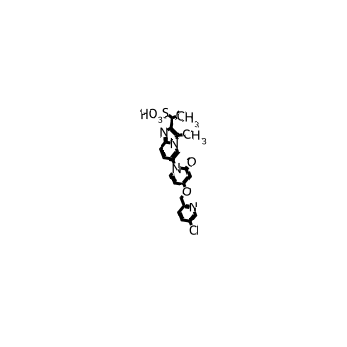 Cc1c(C(C)S(=O)(=O)O)nc2ccc(-n3ccc(OCc4ccc(Cl)cn4)cc3=O)cn12